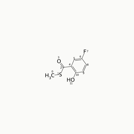 CSC(=O)c1cc(F)ccc1O